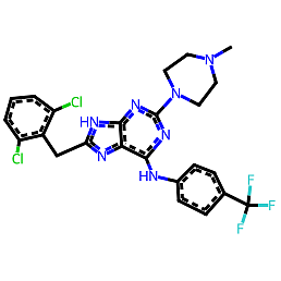 CN1CCN(c2nc(Nc3ccc(C(F)(F)F)cc3)c3nc(Cc4c(Cl)cccc4Cl)[nH]c3n2)CC1